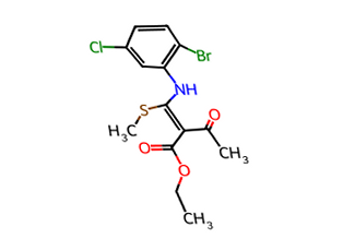 CCOC(=O)/C(C(C)=O)=C(/Nc1cc(Cl)ccc1Br)SC